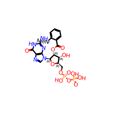 CNc1ccccc1C(=O)O[C@@H]1[C@H](O)[C@@H](COP(=O)(O)OP(=O)(O)O)O[C@H]1n1cnc2c(=O)[nH]c(N)nc21